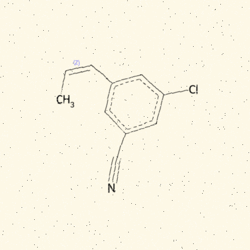 C/C=C\c1cc(Cl)cc(C#N)c1